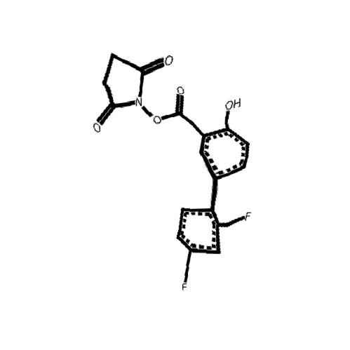 O=C(ON1C(=O)CCC1=O)c1cc(-c2ccc(F)cc2F)ccc1O